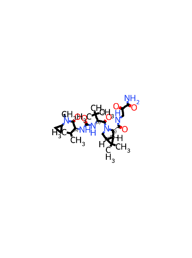 CC(C)[C@H](NC(=O)N[C@H](C(=O)N1C[C@H]2[C@@H]([C@H]1C(=O)NCC(=O)C(N)=O)C2(C)C)C(C)(C)C)C(=O)N(C)C1CC1